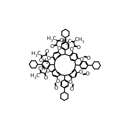 C=C(C)C(=O)Oc1cc(OC=O)c2cc1C(c1ccc(C3CCCCC3)cc1)c1cc(c(OC(=O)C(=C)C)cc1OC(=O)C(=C)C)C(c1ccc(C3CCCCC3)cc1)c1cc(c(OC=O)cc1OC(=O)C(=C)C)C(c1ccc(C3CCCCC3)cc1)c1cc(c(OC=O)cc1OC=O)C2c1ccc(C2CCCCC2)cc1